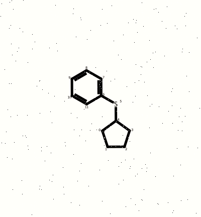 [C]1CCCC1Sc1ccccc1